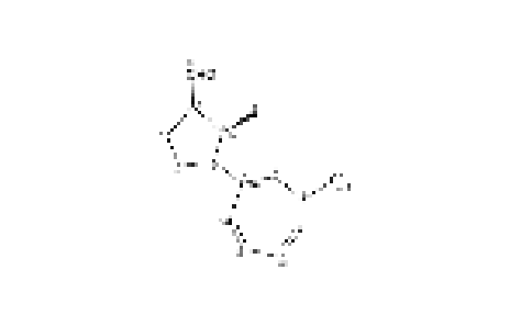 C[C@@H]1C(C=O)CCC1C1=CC(C(F)(F)F)C=CC=C1